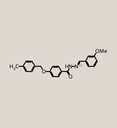 COc1cccc(/C=N/NC(=O)c2ccc(OCc3ccc(C)cc3)cc2)c1